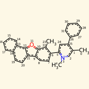 Cc1c[n+](C)c(-c2ccc3c(oc4c5ccccc5ccc34)c2C)cc1-c1ccccc1